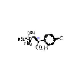 CCC[CH2][Sn](/[CH]=C(\C(=O)O)c1ccc(Cl)cc1)([CH2]CCC)[CH2]CCC